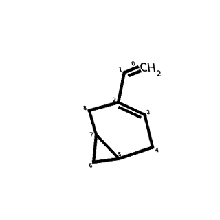 C=CC1=CCC2CC2C1